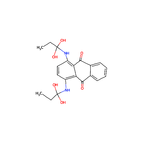 CCC(O)(O)Nc1ccc(NC(O)(O)CC)c2c1C(=O)c1ccccc1C2=O